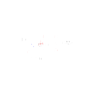 CCCCCON(O)CC.CCO.COS(=O)(=O)OC